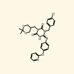 CC1(C)OCC(Cn2c(=O)[nH]/c(=N\c3ccc(Oc4ccccn4)cc3)n(Cc3ccc(Cl)cc3)c2=O)CO1